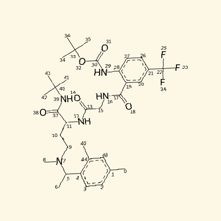 Cc1ccc(C(C)N(C)CCC(NC(=O)CNC(=O)c2cc(C(F)(F)F)ccc2NC(=O)OC(C)(C)C)C(=O)NC(C)(C)C)c(C)c1